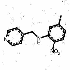 Cc1ccc([N+](=O)[O-])c(NCc2ccncc2)c1